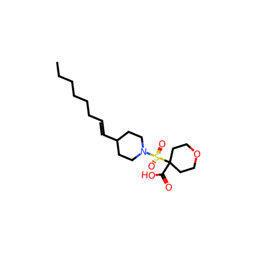 CCCCCCC=CC1CCN(S(=O)(=O)C2(C(=O)O)CCOCC2)CC1